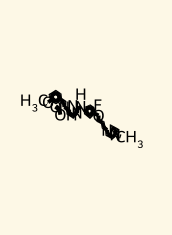 COc1cccc(CN(C(=O)O)c2ccnc(Nc3ccc(OCCCN4CCN(C)CC4)c(F)c3)n2)c1